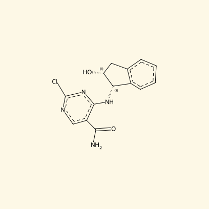 NC(=O)c1cnc(Cl)nc1N[C@H]1c2ccccc2C[C@H]1O